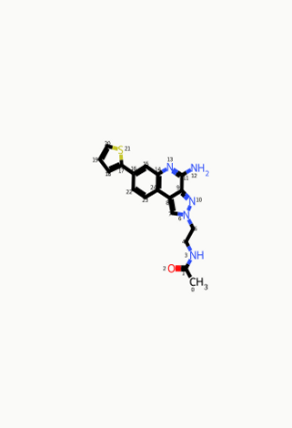 CC(=O)NCCn1cc2c(n1)c(N)nc1cc(-c3cccs3)ccc12